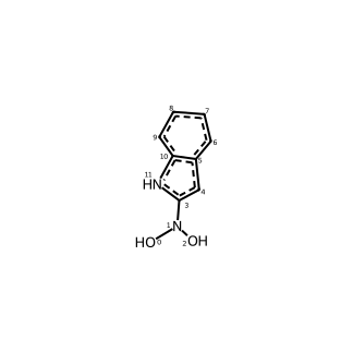 ON(O)c1cc2ccccc2[nH]1